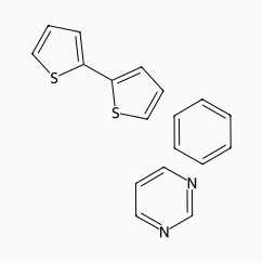 c1ccccc1.c1cncnc1.c1csc(-c2cccs2)c1